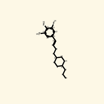 CCCC1CCC(CCC=Cc2cc(F)c(F)c(F)c2)CC1